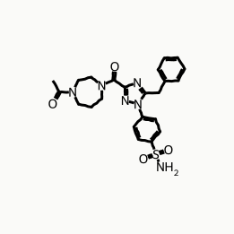 CC(=O)N1CCCN(C(=O)c2nc(Cc3ccccc3)n(-c3ccc(S(N)(=O)=O)cc3)n2)CC1